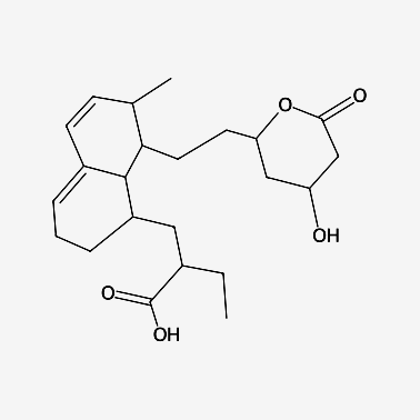 CCC(CC1CCC=C2C=CC(C)C(CCC3CC(O)CC(=O)O3)C21)C(=O)O